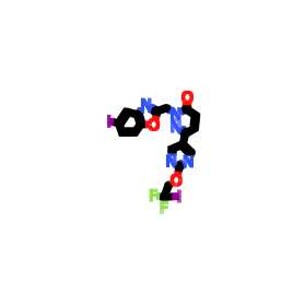 O=c1ccc(-c2cnc(OCC(F)(F)I)nc2)nn1Cc1nc2cc(I)ccc2o1